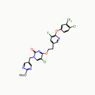 COc1ncc(Cn2cc(Cl)c(OCCc3cnc(Oc4ccc(Cl)c(C(F)(F)F)c4)c(F)c3)nc2=O)cn1